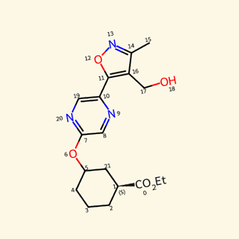 CCOC(=O)[C@H]1CCCC(Oc2cnc(-c3onc(C)c3CO)cn2)C1